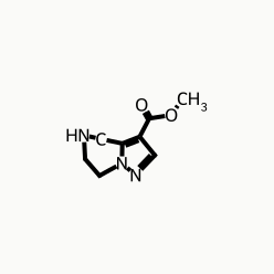 COC(=O)c1cnn2c1CNCC2